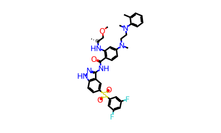 COC[C@@H](C)Nc1cc(N(C)CCN(C)c2ccccc2C)ccc1C(=O)Nc1n[nH]c2ccc(S(=O)(=O)c3cc(F)cc(F)c3)cc12